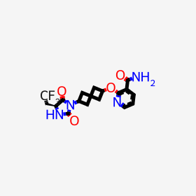 NC(=O)c1cccnc1OC1CC2(C1)CC(N1C(=O)N[C@@H](CC(F)(F)F)C1=O)C2